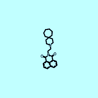 O=C1c2cccc3cccc(c23)C(=O)N1CCN1CCC2(CCCCCC2)CC1